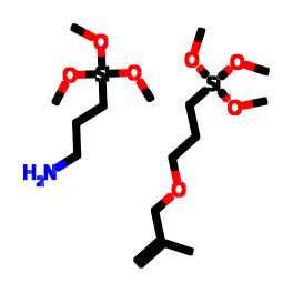 C=C(C)COCCC[Si](OC)(OC)OC.CO[Si](CCCN)(OC)OC